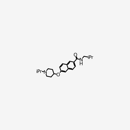 CC(C)CNC(=O)c1ccc2cc(OC3CCN(C(C)C)CC3)ccc2c1